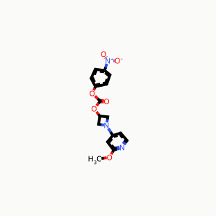 COc1cc(N2CC(OC(=O)Oc3ccc([N+](=O)[O-])cc3)C2)ccn1